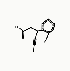 CC#CC(CC(=O)O)c1ccccc1F